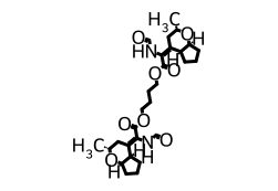 C[C@@H]1C/C(=C(/NC=O)C(=O)OCCCCOC(=O)/C(NC=O)=C2/C[C@@H](C)O[C@H]3CCC[C@@H]23)[C@@H]2CCC[C@@H]2O1